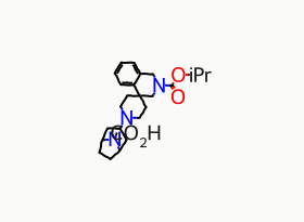 CC(C)OC(=O)N1Cc2ccccc2C2(CCN(C3CC4CCC(C3)N4C(=O)O)CC2)C1